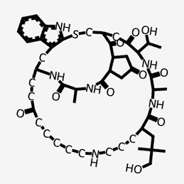 CC1NC(=O)C(CC(C)(C)CO)CCCNCCCCCC(=O)CCC2Cc3c([nH]c4ccccc34)SCC(CC(=O)C(C(C)O)NC1=O)C(=O)C1CC(=O)CC1C(=O)NC(C)C(=O)N2